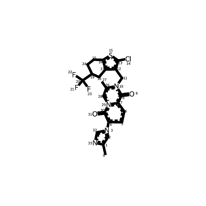 Cc1cn(-c2ccc3c(=O)n(Cc4c(Cl)sc5c4CC(C(F)(F)F)CC5)c(C)cn3c2=O)cn1